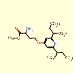 CC(C)(C)OC(=O)C(N)CCOc1cc(C(CC(=O)O)C(=O)O)nc(C(CC(=O)O)C(=O)O)c1